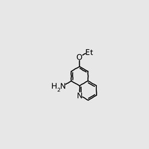 CCOc1cc(N)c2ncccc2c1